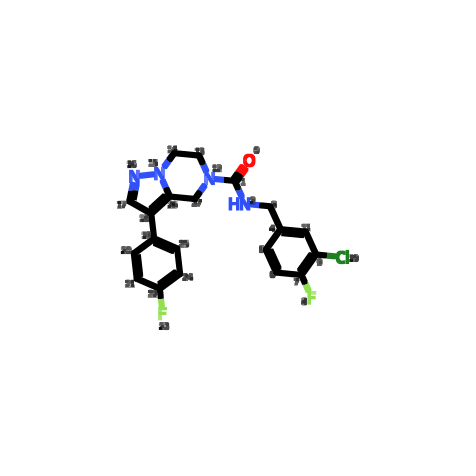 O=C(NCc1ccc(F)c(Cl)c1)N1CCn2ncc(-c3ccc(F)cc3)c2C1